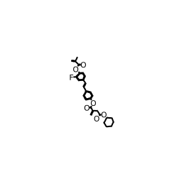 C=C(C)C(=O)Oc1ccc(/C=C/c2ccc(OC(=O)C(=C)CC(=O)OC3CCCCC3)cc2)cc1F